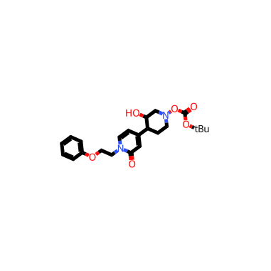 CC(C)(C)OC(=O)ON1CCC(c2ccn(CCOc3ccccc3)c(=O)c2)C(O)C1